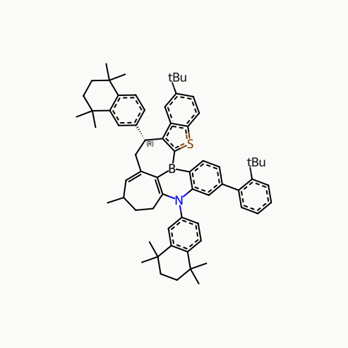 CC1C=C2C[C@H](c3ccc4c(c3)C(C)(C)CCC4(C)C)c3c(sc4ccc(C(C)(C)C)cc34)B3C2=C(CC1)N(c1ccc2c(c1)C(C)(C)CCC2(C)C)c1cc(-c2ccccc2C(C)(C)C)ccc13